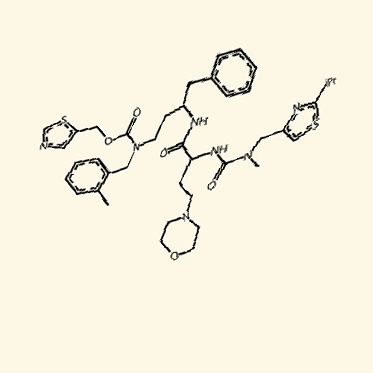 Cc1ccccc1CN(CCC(Cc1ccccc1)NC(=O)C(CCN1CCOCC1)NC(=O)N(C)Cc1csc(C(C)C)n1)C(=O)OCc1cncs1